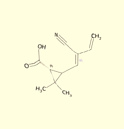 C=C/C(C#N)=C/C1[C@@H](C(=O)O)C1(C)C